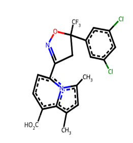 Cc1cc(C)n2c(C3=NOC(c4cc(Cl)cc(Cl)c4)(C(F)(F)F)C3)ccc(C(=O)O)c12